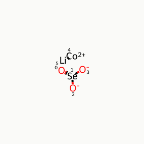 O=[Se]([O-])[O-].[Co+2].[Li+]